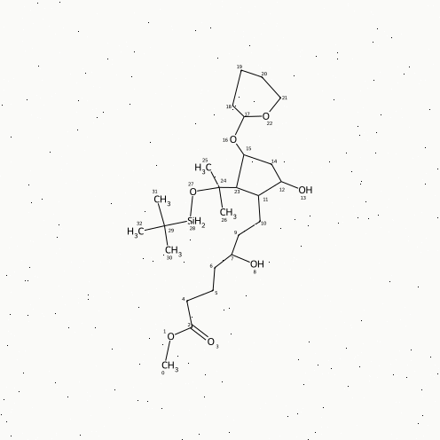 COC(=O)CCCC(O)CCC1C(O)CC(OC2CCCCO2)C1C(C)(C)O[SiH2]C(C)(C)C